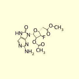 COC(=O)C[C@H]1O[C@@H](n2c(=O)[nH]c3cnc(N)nc32)[C@H](OC(C)=O)[C@@H]1F